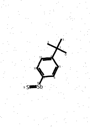 CC(C)(C)c1cc[c]([Sb]=[S])cc1